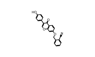 N#Cc1ccccc1COc1ccc2c(=O)c(-c3ccc(O)cc3)coc2c1